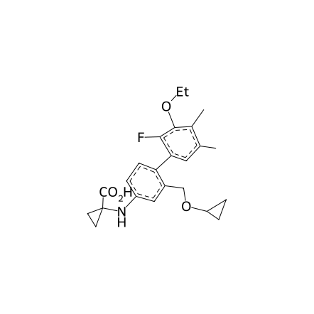 CCOc1c(C)c(C)cc(-c2ccc(NC3(C(=O)O)CC3)cc2COC2CC2)c1F